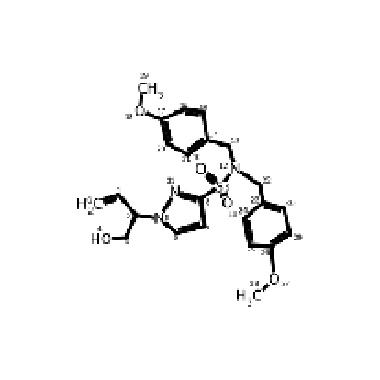 C=CC(CO)n1ccc(S(=O)(=O)N(Cc2ccc(OC)cc2)Cc2ccc(OC)cc2)n1